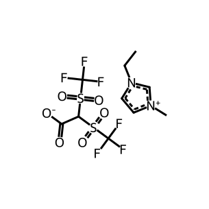 CCn1cc[n+](C)c1.O=C([O-])C(S(=O)(=O)C(F)(F)F)S(=O)(=O)C(F)(F)F